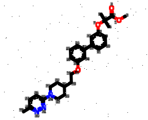 COC(=O)C(C)(C)Oc1cccc(-c2cccc(OCCC3CCN(c4ccc(C)nn4)CC3)c2)c1